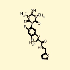 CC(Oc1cc(N2C(=O)N(C)C(S)N(C)C2=O)c(F)cc1Cl)C(=O)NCc1cccs1